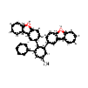 N#Cc1cc(-c2ccccc2)c(-c2ccc3oc4ccccc4c3c2)c(-c2ccc3oc4ccccc4c3c2)c1